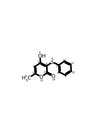 Cc1cc(O)c(Sc2ccccc2)c(=O)o1